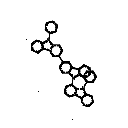 c1ccc(-n2c3ccccc3c3cc(-c4ccc5c(c4)c4ccccc4n5-c4cccc5c6ccccc6n(-c6ccccc6)c45)ccc32)cc1